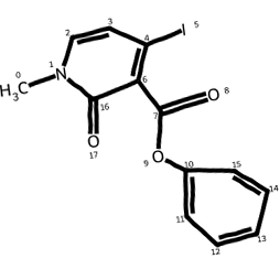 Cn1ccc(I)c(C(=O)Oc2ccccc2)c1=O